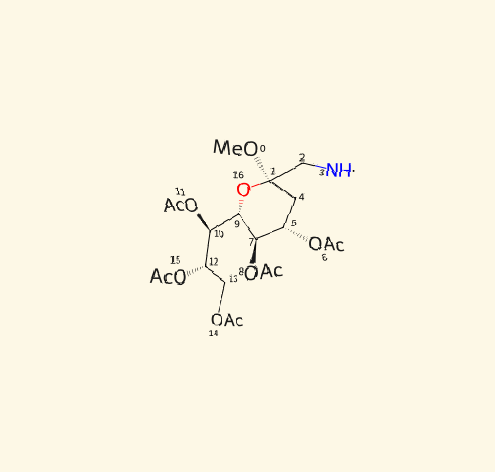 CO[C@]1(C[NH])C[C@H](OC(C)=O)[C@@H](OC(C)=O)[C@H]([C@H](OC(C)=O)[C@H](COC(C)=O)OC(C)=O)O1